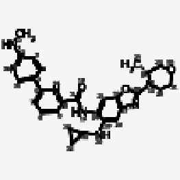 CNc1ccc(-c2cccc(C(=O)Nc3cc4oc(N5CCOC[C@H]5C)nc4cc3NC3CC3)n2)cn1